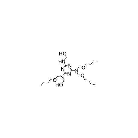 CCCCOCN(CO)c1nc(NCO)nc(N(COCCCC)COCCCC)n1